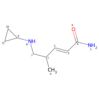 CC(C=CC(N)=O)CNC1CC1